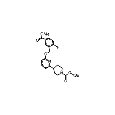 COC(=O)c1ccc(F)c(COc2cccc(C3CCN(C(=O)OC(C)(C)C)CC3)n2)c1